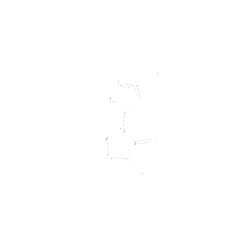 CC(=O)OC1C(=O)N(c2nnc(C(C)(C)C)s2)C(=O)N1C